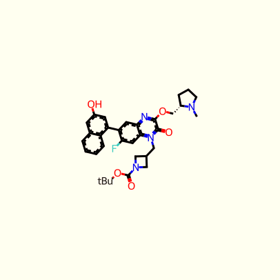 CN1CCC[C@H]1COc1nc2cc(-c3cc(O)cc4ccccc34)c(F)cc2n(CC2CN(C(=O)OC(C)(C)C)C2)c1=O